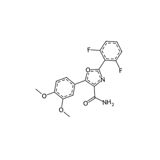 COc1ccc(-c2oc(-c3c(F)cccc3F)nc2C(N)=O)cc1OC